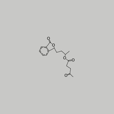 CC(=O)CCC(=O)OC(C)CCC1OC(=O)c2ccccc21